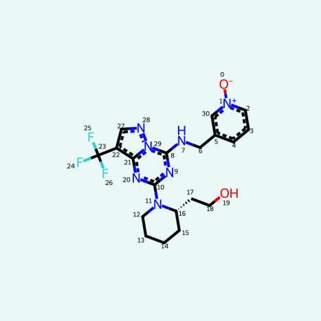 [O-][n+]1cccc(CNc2nc(N3CCCC[C@H]3CCO)nc3c(C(F)(F)F)cnn23)c1